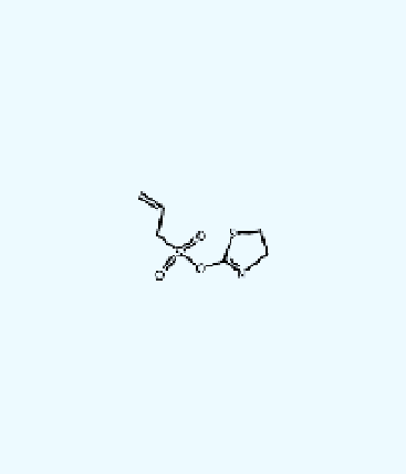 C=CCS(=O)(=O)OC1=NCCS1